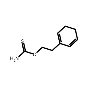 NC(=S)OCCC1=CCCC=C1